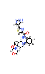 CC(=O)C1(N2CCOCC2)CCN(c2ccccc2NC(=O)c2csc(-c3cn[nH]c3)n2)CC1